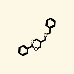 c1ccc(COCC2COC(c3ccccc3)OC2)cc1